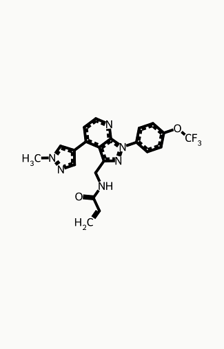 C=CC(=O)NCc1nn(-c2ccc(OC(F)(F)F)cc2)c2nccc(-c3cnn(C)c3)c12